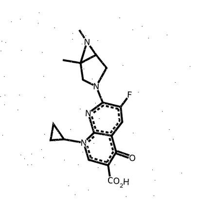 CN1C2CN(c3nc4c(cc3F)c(=O)c(C(=O)O)cn4C3CC3)CC21C